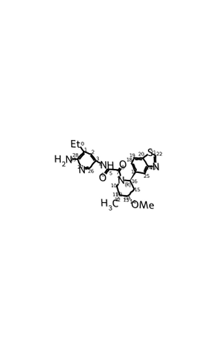 CCc1cc(NC(=O)C(=O)N2C[C@@H](C)[C@@H](OC)C[C@@H]2c2ccc3scnc3c2)cnc1N